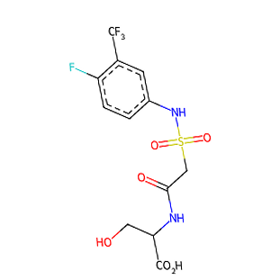 O=C(CS(=O)(=O)Nc1ccc(F)c(C(F)(F)F)c1)NC(CO)C(=O)O